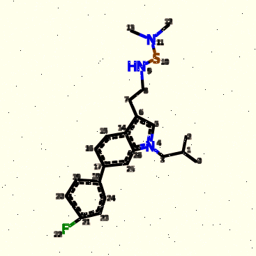 CC(C)Cn1cc(CCNSN(C)C)c2ccc(-c3ccc(F)cc3)cc21